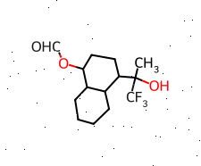 CC(O)(C1CCC(OC=O)C2CCCCC21)C(F)(F)F